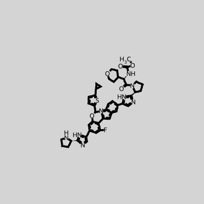 COC(=O)N[C@H](C(=O)N1CCC[C@H]1c1ncc(-c2ccc3c(c2)cc2n3C(c3ccc(C4CC4)s3)Oc3cc(-c4cnc([C@@H]5CCCN5)[nH]4)cc(F)c3-2)[nH]1)C1CCOCC1